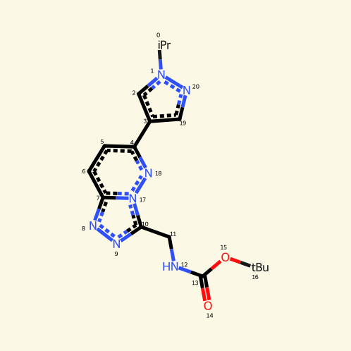 CC(C)n1cc(-c2ccc3nnc(CNC(=O)OC(C)(C)C)n3n2)cn1